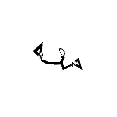 O=C(CN1CC1)CN1CC1